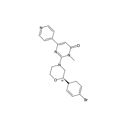 Cn1c(N2CCO[C@H](C3C=CC(Br)=CC3)C2)nc(-c2ccncc2)cc1=O